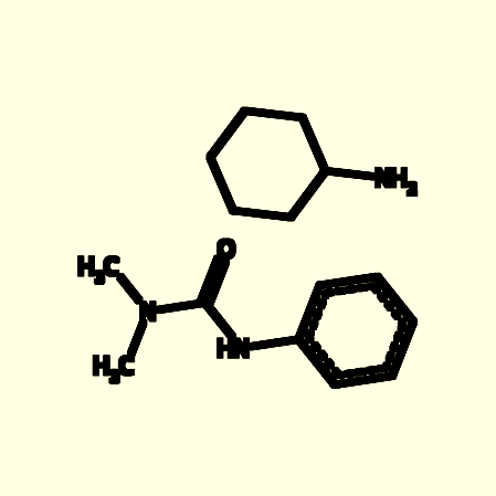 CN(C)C(=O)Nc1ccccc1.NC1CCCCC1